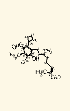 C/C(C=O)=C\CC/C(C)=C/Cc1c(O)c(Cl)c(C)c(C=O)c1C1CCC1